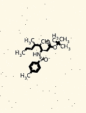 CCC[C@@H](C)[C@@H](C)[C@@H](CC(=O)OC(C)(C)C)N[S+]([O-])c1ccc(C)cc1